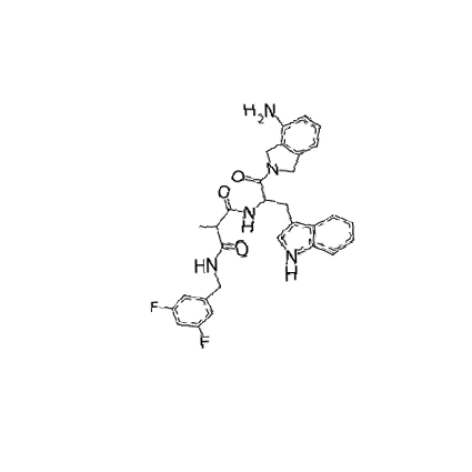 CC(C(=O)NCc1cc(F)cc(F)c1)C(=O)NC(Cc1c[nH]c2ccccc12)C(=O)N1Cc2cccc(N)c2C1